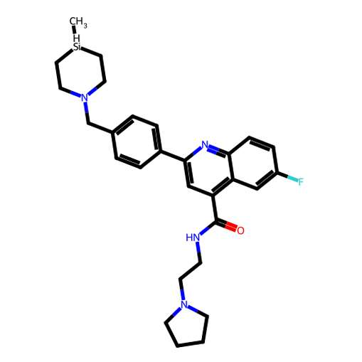 C[SiH]1CCN(Cc2ccc(-c3cc(C(=O)NCCN4CCCC4)c4cc(F)ccc4n3)cc2)CC1